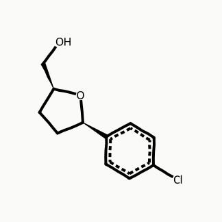 OC[C@@H]1CC[C@H](c2ccc(Cl)cc2)O1